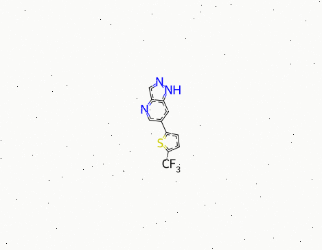 FC(F)(F)c1ccc(-c2cnc3cn[nH]c3c2)s1